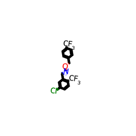 FC(F)(F)c1ccc(CO/N=C/c2cc(Cl)ccc2C(F)(F)F)cc1